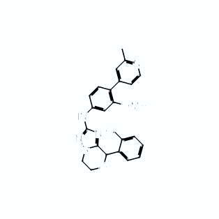 COc1cc(Nc2nc3n(n2)CCOC3c2ccccc2Cl)ccc1-c1ccnc(C)c1